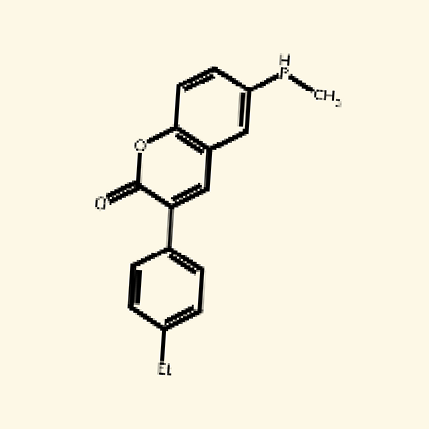 CCc1ccc(-c2cc3cc(PC)ccc3oc2=O)cc1